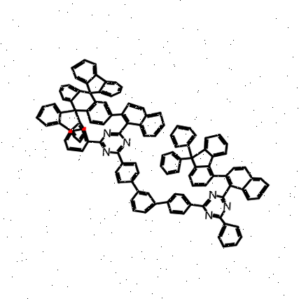 c1ccc(-c2nc(-c3ccc(-c4cccc(-c5ccc(-c6nc(-c7ccccc7)nc(-c7c(-c8cccc9c8-c8ccccc8C9(c8ccccc8)c8ccccc8)ccc8ccccc78)n6)cc5)c4)cc3)nc(-c3c(-c4ccc5c(c4)C4(c6ccccc6-c6ccccc64)c4ccccc4C54c5ccccc5-c5ccccc54)ccc4ccccc34)n2)cc1